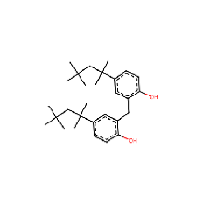 CC(C)(C)CC(C)(C)c1ccc(O)c(Cc2cc(C(C)(C)CC(C)(C)C)ccc2O)c1